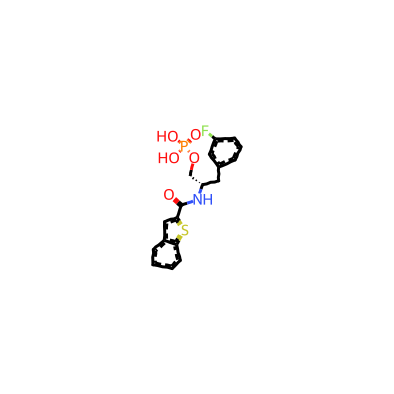 O=C(N[C@H](COP(=O)(O)O)Cc1cccc(F)c1)c1cc2ccccc2s1